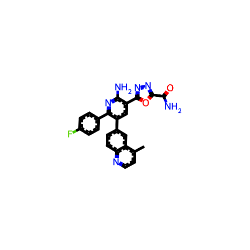 Cc1ccnc2ccc(-c3cc(-c4nnc(C(N)=O)o4)c(N)nc3-c3ccc(F)cc3)cc12